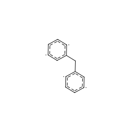 [c]1cc[c]c(Cc2[c]cc[c]c2)c1